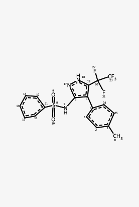 Cc1ccc(-c2c(NS(=O)(=O)c3ccccc3)n[nH]c2C(F)(F)C(F)(F)F)cc1